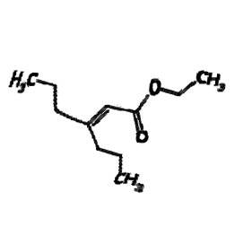 CCCC(=CC(=O)OCC)CCC